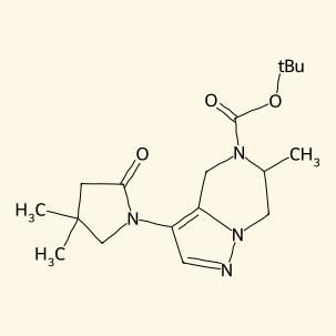 CC1Cn2ncc(N3CC(C)(C)CC3=O)c2CN1C(=O)OC(C)(C)C